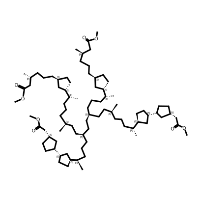 COC(=O)C[C@H](C)CCC[C@H]1CC[C@H]([C@H](C)CCC[C@H](C)CC[C@H](CCC[C@@H](C)[C@H]2CC[C@H](C3CC[C@H](CC(=O)OC)C3)C2)CC[C@@H](CCC[C@@H](C)[C@H]2CC[C@H](CCC[C@@H](C)CC(=O)OC)C2)CC[C@@H](C)CCC[C@@H](C)[C@H]2CC[C@H](C3CC[C@H](CC(=O)OC)C3)C2)C1